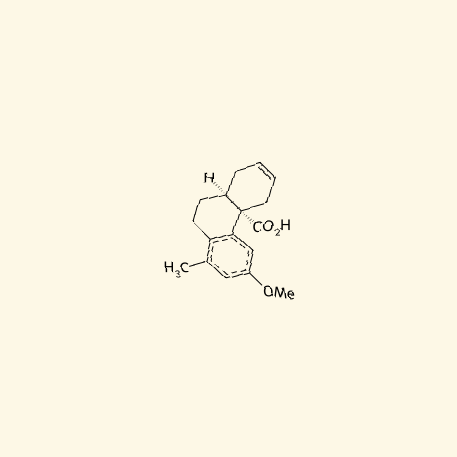 COc1cc(C)c2c(c1)[C@]1(C(=O)O)CC=CC[C@@H]1CC2